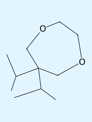 CC(C)C1(C(C)C)COCCOC1